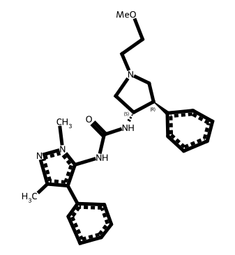 COCCN1C[C@@H](NC(=O)Nc2c(-c3ccccc3)c(C)nn2C)[C@H](c2ccccc2)C1